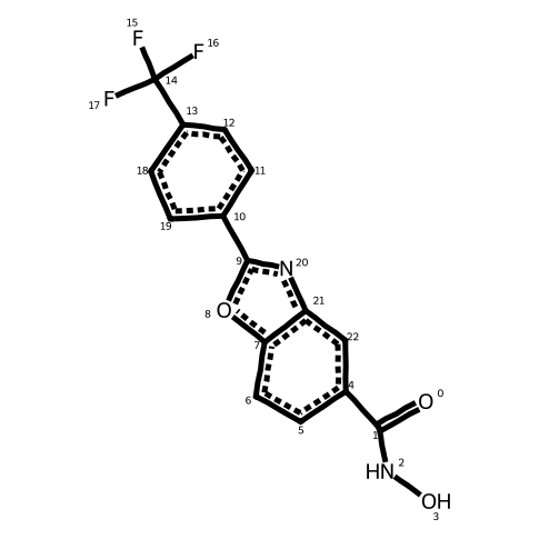 O=C(NO)c1ccc2oc(-c3ccc(C(F)(F)F)cc3)nc2c1